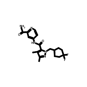 Cc1nn(CC2CCC(F)(F)CC2)c(C(=O)Nc2ccnc(C(N)=O)c2)c1C